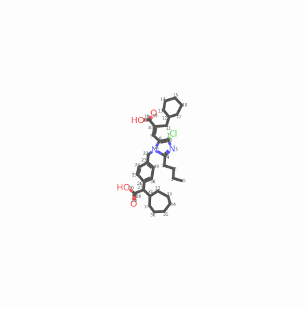 CCCCc1nc(Cl)c(C=C(CC2CCCCC2)C(=O)O)n1Cc1ccc(C(C(=O)O)C2CCCCCC2)cc1